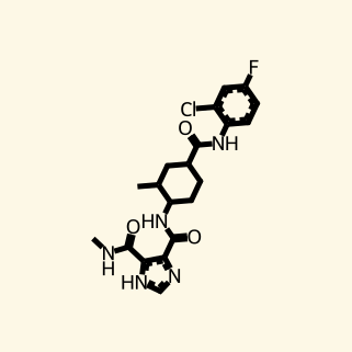 CNC(=O)c1[nH]cnc1C(=O)NC1CCC(C(=O)Nc2ccc(F)cc2Cl)CC1C